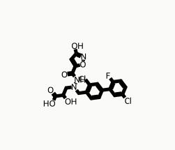 O=C(NN(Cc1ccc(-c2cc(Cl)ccc2F)cc1Cl)CC(O)C(=O)O)c1cc(O)no1